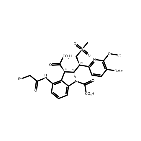 CCOc1nc([C@H](CS(C)(=O)=O)[C@H]2[C@H](C(=O)C(=O)O)c3c(NC(=O)CC(C)C)cccc3N2C(=O)C(=O)O)ccc1OC